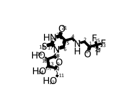 O=C(CNCc1cn([C@@H]2O[C@H](CO)[C@@H](O)[C@H]2O)c(=S)[nH]c1=O)C(F)(F)F